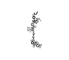 C=C/C=C\C(=C)Oc1ccc(-c2nn(C3CCCN(C(=O)/C(N)=C/N(N)CCOCCOCCNc4cccc5c4C(=O)N(C4CCC(=O)NC4=O)C5=O)C3)c3ncnc(N)c23)cc1